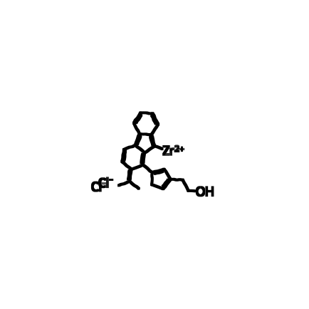 CC(C)=c1ccc2c(c1C1=CC(CCO)=CC1)[C]([Zr+2])=c1ccccc1=2.[Cl-].[Cl-]